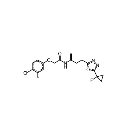 C=C(CCc1nnc(C2(F)CC2)o1)NC(=O)COc1ccc(Cl)c(F)c1